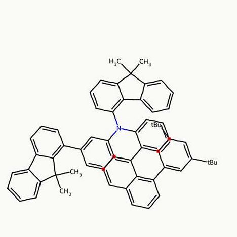 CC(C)(C)c1cc(-c2cccc3cccc(-c4ccccc4N(c4cccc(-c5cccc6c5C(C)(C)c5ccccc5-6)c4)c4cccc5c4-c4ccccc4C5(C)C)c23)cc(C(C)(C)C)c1